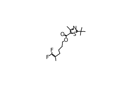 CC(CCCCOC(=O)c1sc(C(C)(C)C)nc1C)=C(F)F